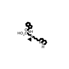 O=C(O)C(CCN(CCCCc1ccc2c(n1)NCCC2)C1CC1)NC(=O)C1CCc2ccccc21